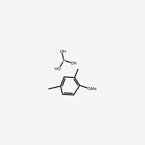 COc1ccc(C)cc1C.OP(O)O